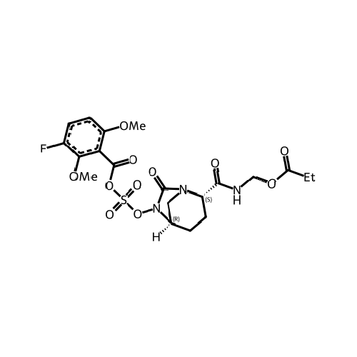 CCC(=O)OCNC(=O)[C@@H]1CC[C@@H]2CN1C(=O)N2OS(=O)(=O)OC(=O)c1c(OC)ccc(F)c1OC